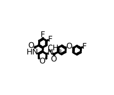 CN(C(=O)c1ccc(Oc2cccc(F)c2)cc1)C1COCc2[nH]c(=O)c3cc(F)c(F)cc3c21